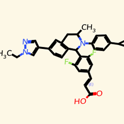 CCn1cc(-c2ccc3c(c2)CC(C)N(c2ccc(C4CC4)cc2)C3c2c(F)cc(/C=C/C(=O)O)cc2F)cn1